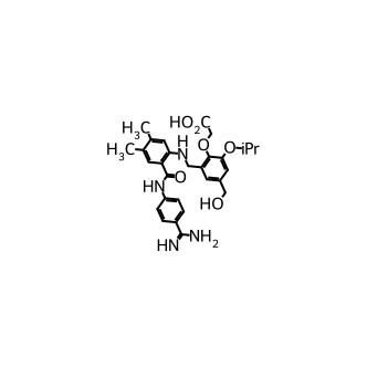 Cc1cc(NCc2cc(CO)cc(OC(C)C)c2OCC(=O)O)c(C(=O)Nc2ccc(C(=N)N)cc2)cc1C